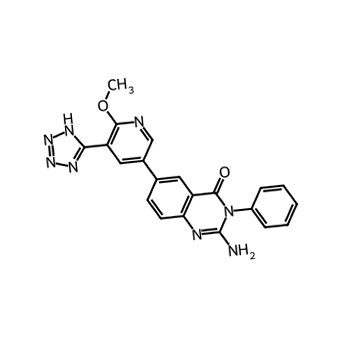 COc1ncc(-c2ccc3nc(N)n(-c4ccccc4)c(=O)c3c2)cc1-c1nnn[nH]1